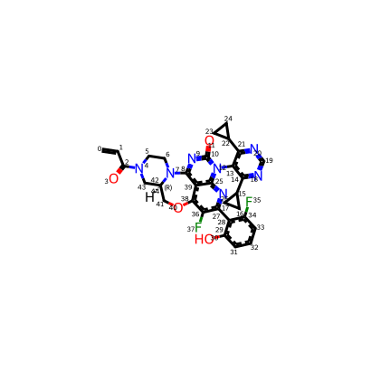 C=CC(=O)N1CCN2c3nc(=O)n(-c4c(C5CC5)ncnc4C4CC4)c4nc(-c5c(O)cccc5F)c(F)c(c34)OC[C@H]2C1